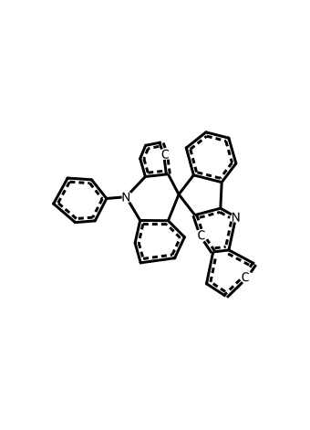 c1ccc(N2c3ccccc3C3(c4ccccc4-c4nc5ccccc5cc43)c3ccccc32)cc1